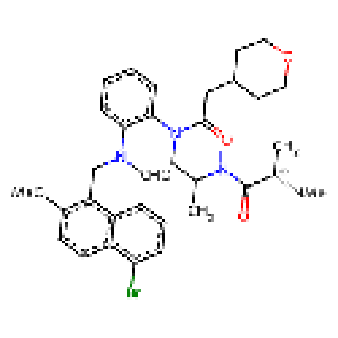 CN[C@@H](C)C(=O)NC(C)CN(C(=O)CC1CCOCC1)c1ccccc1N(C=O)Cc1c(OC)ccc2c(Br)cccc12